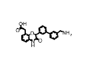 NCc1cccc(-c2cccc(C3Oc4c(CC(=O)O)cccc4NC3=O)c2)c1